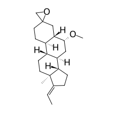 CC=C1CC[C@H]2[C@@H]3C[C@@H](OC)[C@H]4CC5(CC[C@@H]4[C@H]3CC[C@]12C)CO5